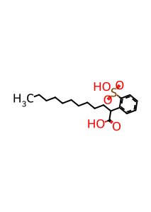 CCCCCCCCCCC(C(=O)O)c1ccccc1S(=O)(=O)O